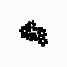 O=Cc1cccnc1Sc1c(Cl)ccc(C(F)(F)F)c1CNC(=O)OCC1c2ccccc2-c2ccccc21